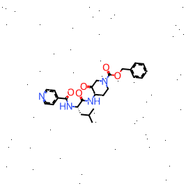 CC(C)C[C@H](NC(=O)c1ccncc1)C(=O)NC1CCN(C(=O)OCc2ccccc2)CC1=O